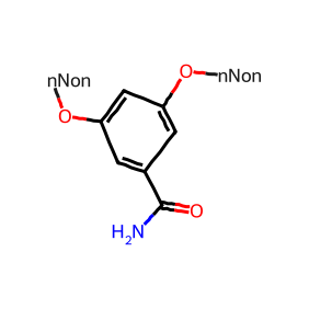 CCCCCCCCCOc1cc(OCCCCCCCCC)cc(C(N)=O)c1